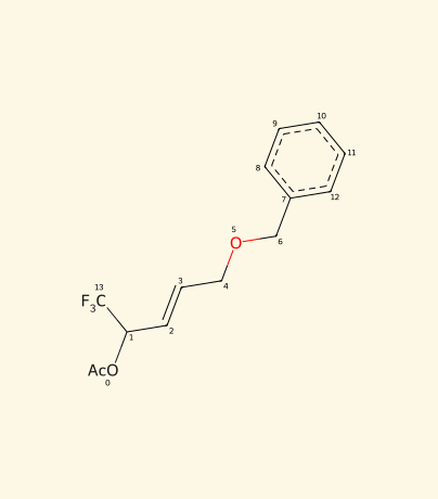 CC(=O)OC(/C=C/COCc1ccccc1)C(F)(F)F